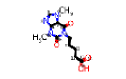 CN1C=NC2C1C(=O)N(CCCCC(=O)O)C(=O)N2C